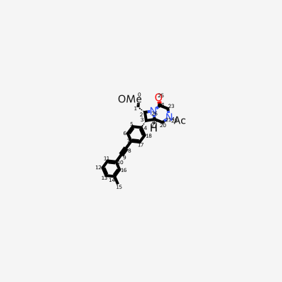 COC[C@H]1[C@@H](c2ccc(C#Cc3cccc(C)c3)cc2)[C@@H]2CN(C(C)=O)CC(=O)N12